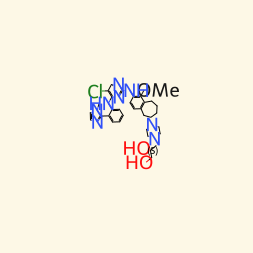 COc1c(Nc2ncc(Cl)c(Nc3ccccc3-c3nccn3C)n2)ccc2c1CCCC(N1CCN(C[C@H](O)CO)CC1)C2